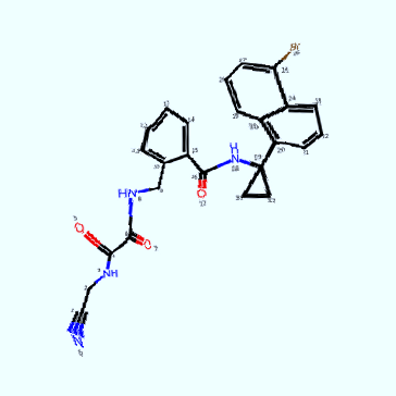 N#CCNC(=O)C(=O)NCc1ccccc1C(=O)NC1(c2cccc3c(Br)cccc23)CC1